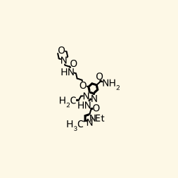 C=CCn1c(NC(=O)c2cc(C)nn2CC)nc2cc(C(N)=O)cc(OCCCNC(=O)CN3CCOCC3)c21